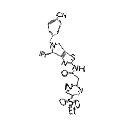 CCS(=O)(=O)c1cnc(CC(=O)Nc2nc3c(s2)CN(Cc2ccc(C#N)cc2)[C@@H]3C(C)C)nc1